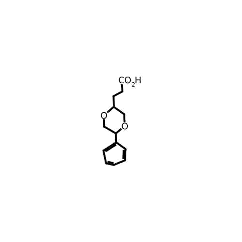 O=C(O)CCC1COC(c2ccccc2)CO1